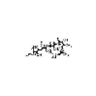 CC(C)CNC(=O)C(O)C(O)C[C@@H](O)C(=O)NC(C)(C)C(C)CNC(=O)C(C)C(C)COC(C)(C)COC(C)(C)C